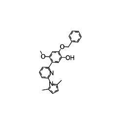 COc1cc(OCc2ccccc2)c(O)cc1-c1cccc(-n2c(C)ccc2C)n1